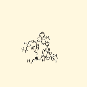 CC(C)[C@@H](CCN(C)C[C@H]1O[C@@H](n2cnc3c(N)ncnc32)[C@@H]2OC(C)(C)O[C@@H]21)NC(=O)OCc1ccccc1